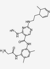 CCCNc1nc(NCCC2C=CN=CC2C)ncc1C(=O)Nc1cc(NC(=O)CN)c(C)cc1C